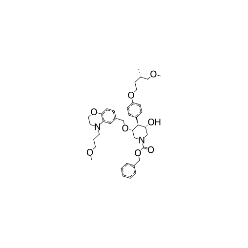 COCCCN1CCOc2ccc(CO[C@H]3CN(C(=O)OCc4ccccc4)C[C@@H](O)[C@@H]3c3ccc(OCC[C@H](C)COC)cc3)cc21